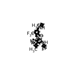 Cn1cnnc1[C@]1(c2cc(NC3CC(F)(F)C3)nc(N3Cc4c(cc(CNC5(C)CCC5)cc4C(F)(F)F)C3=O)c2)C[C@H](C)C1